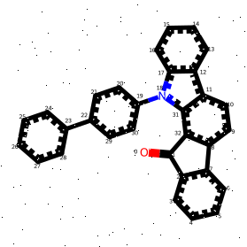 O=C1c2ccccc2-c2ccc3c4ccccc4n(-c4ccc(-c5ccccc5)cc4)c3c21